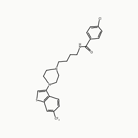 O=C(NCCCCN1CCN(c2csc3cc(C(F)(F)F)ccc23)CC1)c1ccc(Cl)cc1